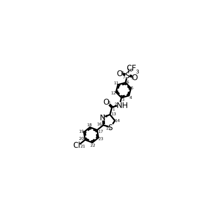 O=C(Nc1ccc(S(=O)(=O)C(F)(F)F)cc1)C1CSC(c2ccc(Cl)cc2)=N1